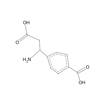 NC(CC(=O)O)c1ccc(C(=O)O)cc1